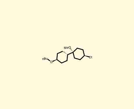 CCCCO[C@H]1CC[C@H]([C@]2(OC)CC[C@H](CC)CC2)CC1